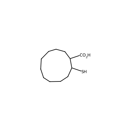 O=C(O)C1CCCCCCCCCC1S